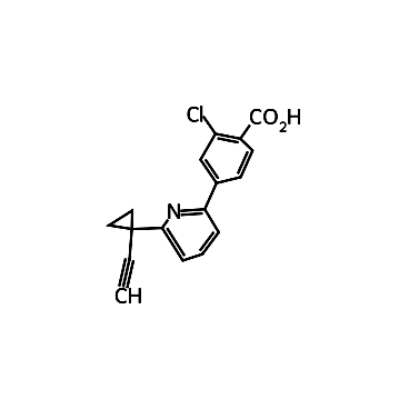 C#CC1(c2cccc(-c3ccc(C(=O)O)c(Cl)c3)n2)CC1